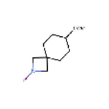 COC1CCC2(CC1)CN(I)C2